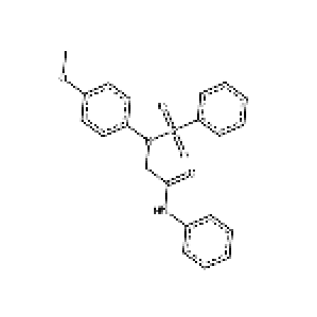 COc1ccc(N(CC(=O)Nc2ccccc2)S(=O)(=O)c2ccccc2)cc1